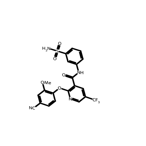 COc1cc(C#N)ccc1Oc1ncc(C(F)(F)F)cc1C(=O)Nc1cccc(S(N)(=O)=O)c1